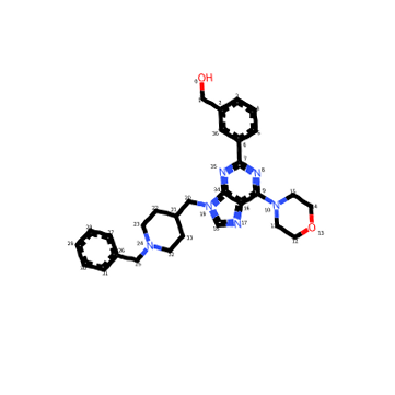 OCc1cccc(-c2nc(N3CCOCC3)c3ncn(CC4CCN(Cc5ccccc5)CC4)c3n2)c1